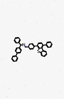 C1=CC(/C=N/C(c2ccccc2)c2ccc(-c3ccccc3)cc2)CC=C1c1ccc(-c2ccccc2)c2c1sc1ccccc12